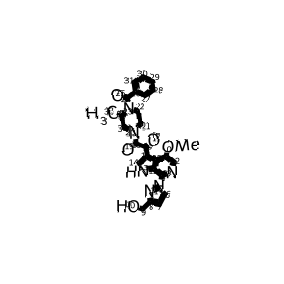 COc1cnc(-n2ccc(CO)n2)c2[nH]cc(C(=O)C(=O)N3CCN(C(=O)c4ccccc4)[C@H](C)C3)c12